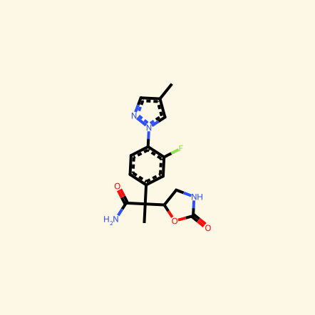 Cc1cnn(-c2ccc(C(C)(C(N)=O)C3CNC(=O)O3)cc2F)c1